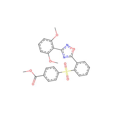 COC(=O)c1ccc(S(=O)(=O)c2ccccc2-c2nc(-c3c(OC)cccc3OC)no2)cc1